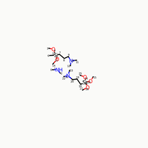 CNC.CO[Si](C)(CCCN(C)C)OC.CO[Si](CCCN(C)C)(OC)OC